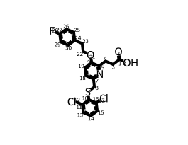 O=C(O)CCc1nc(CSc2c(Cl)cccc2Cl)ccc1OCCc1ccc(F)cc1